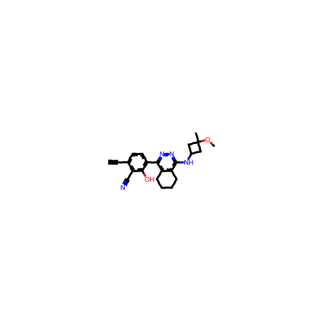 C#Cc1ccc(-c2nnc(NC3CC(C)(OC)C3)c3c2CCCC3)c(O)c1C#N